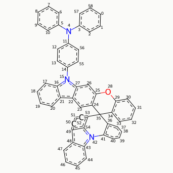 c1ccc(N(c2ccccc2)c2ccc(-n3c4ccccc4c4cc5c(cc43)Oc3ccccc3C53c4ccccc4-n4c5ccccc5c5cccc3c54)cc2)cc1